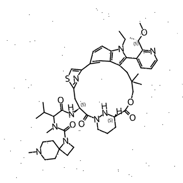 CCn1c(-c2cccnc2[C@H](C)OC)c2c3cc(ccc31)-c1csc(n1)C[C@H](NC(=O)C(C(C)C)N(C)C(=O)N1CCC13CCN(C)CC3)C(=O)N1CCC[C@H](N1)C(=O)OCC(C)(C)C2